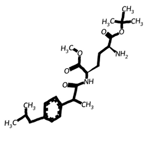 COC(=O)[C@@H](CC[C@H](N)C(=O)OC(C)(C)C)NC(=O)C(C)c1ccc(CC(C)C)cc1